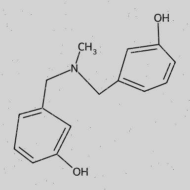 CN(Cc1cccc(O)c1)Cc1cccc(O)c1